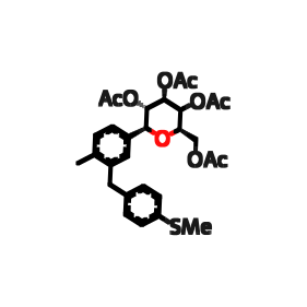 CSc1ccc(Cc2cc([C@@H]3O[C@H](COC(C)=O)C(OC(C)=O)[C@H](OC(C)=O)[C@H]3OC(C)=O)ccc2C)cc1